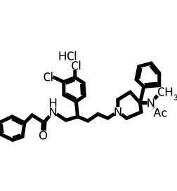 CC(=O)N(C)C1(c2ccccc2)CCN(CCCC(CNC(=O)Cc2ccccc2)c2ccc(Cl)c(Cl)c2)CC1.Cl